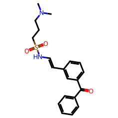 CN(C)CCCS(=O)(=O)NC=Cc1cccc(C(=O)c2ccccc2)c1